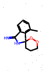 Cc1cccc2c1C1(CCCOO1)NC2=N